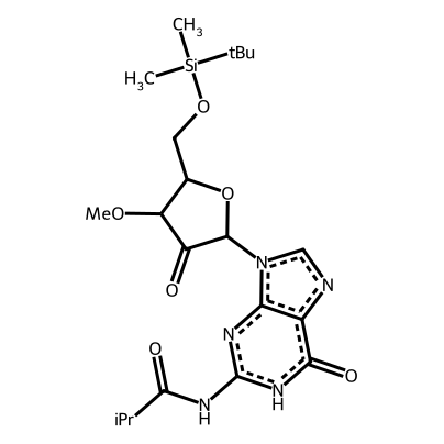 COC1C(=O)C(n2cnc3c(=O)[nH]c(NC(=O)C(C)C)nc32)OC1CO[Si](C)(C)C(C)(C)C